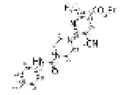 CCOC(=O)c1cc(C#N)c(N2CCN(C(=O)Nc3ccc(C)cc3)CC2)nc1C(F)(F)F